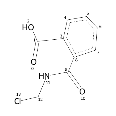 O=C(O)c1ccccc1C(=O)NCCl